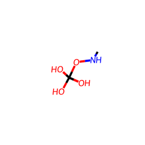 CNOC(O)(O)O